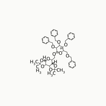 CC1(C)OC2C3OC(C)(C)O[C@H]3C(CO[C@H]3OC(COCc4ccccc4)[C@@H](OCc4ccccc4)C(OCc4ccccc4)C3OCc3ccccc3)O[C@@H]2O1